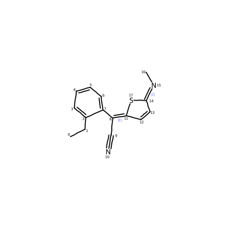 CCc1ccccc1/C(C#N)=C1C=C/C(=N/C)S/1